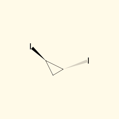 I[C@@H]1C[C@H]1I